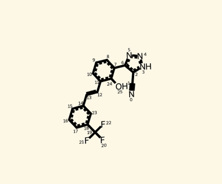 N#Cc1[nH]nnc1-c1cccc(/C=C/c2cccc(C(F)(F)F)c2)c1O